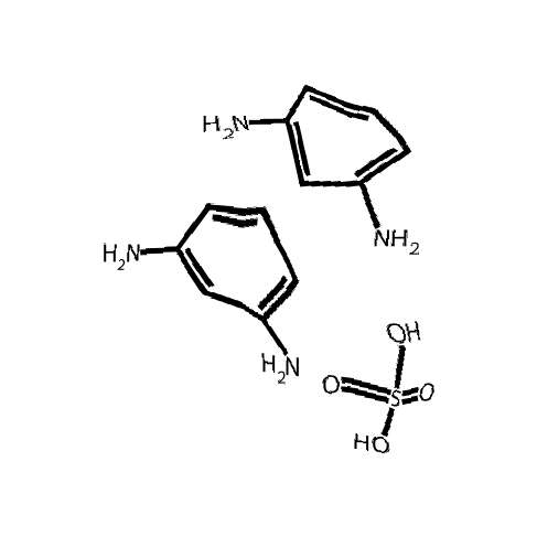 Nc1cccc(N)c1.Nc1cccc(N)c1.O=S(=O)(O)O